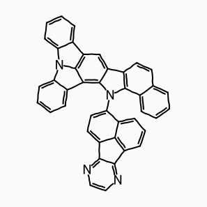 c1ccc2c(c1)ccc1c3cc4c5ccccc5n5c6ccccc6c(c3n(-c3ccc6c7c(cccc37)-c3nccnc3-6)c21)c45